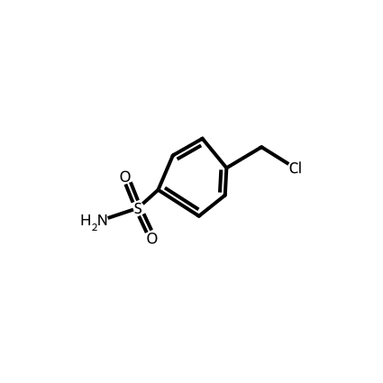 NS(=O)(=O)c1ccc(CCl)cc1